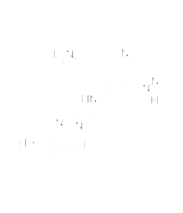 COc1cccc(F)c1-c1nccc(C(=O)Nc2ccc(-c3c(C#N)cnn3C)cc2[C@H]2CC[C@H](N)CC2)n1